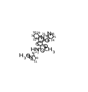 COc1c(C(=O)NCCC2CCCN2C)sc2c1c(=O)n(Cc1ccccn1)c1ccccc21